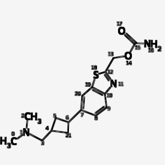 CN(C)CC1CC(c2ccc3nc(COC(N)=O)sc3c2)C1